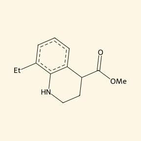 CCc1cccc2c1NCCC2C(=O)OC